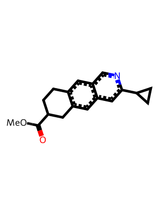 COC(=O)C1CCc2cc3cnc(C4CC4)cc3cc2C1